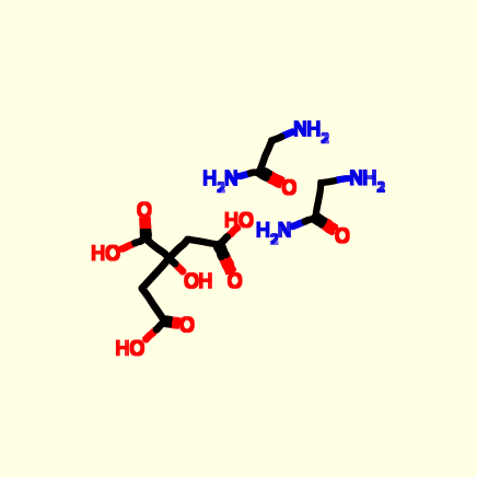 NCC(N)=O.NCC(N)=O.O=C(O)CC(O)(CC(=O)O)C(=O)O